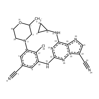 [CH2]C1CN(c2cc(C#N)cc(Nc3nc(NC4CC4)c4ncc(C#N)n4n3)c2Cl)CCO1